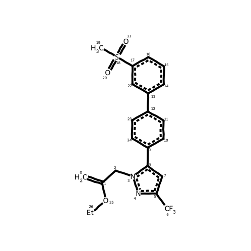 C=C(Cn1nc(C(F)(F)F)cc1-c1ccc(-c2cccc(S(C)(=O)=O)c2)cc1)OCC